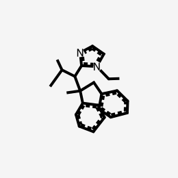 CCn1ccnc1C(C(C)C)C(C)(Cc1ccccc1)c1ccccc1